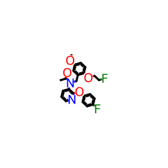 COc1ccc(OCCF)c(CN(C(C)=O)c2cccnc2Oc2ccc(F)cc2)c1